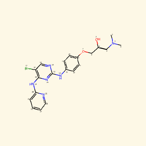 CN(C)CC(O)COc1ccc(Nc2ncc(Br)c(Nc3ccccn3)n2)cc1